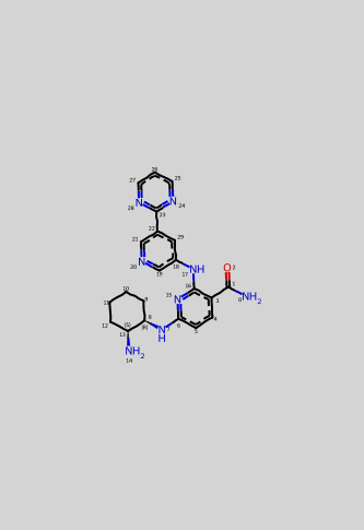 NC(=O)c1ccc(N[C@@H]2CCCC[C@@H]2N)nc1Nc1cncc(-c2ncccn2)c1